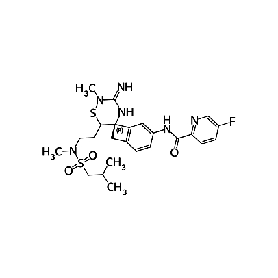 CC(C)CS(=O)(=O)N(C)CCC1SN(C)C(=N)N[C@@]12Cc1ccc(NC(=O)c3ccc(F)cn3)cc12